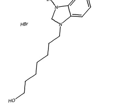 Br.CCN1CN(CCCCCCCO)c2ccccc21